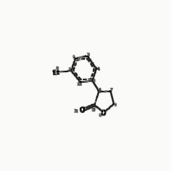 CCc1cccc(C2CCOC2=O)c1